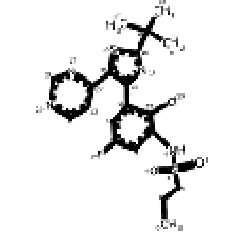 CCCS(=O)(=O)Nc1cc(F)cc(-c2nc(C(C)(C)C)sc2-c2ccncn2)c1Cl